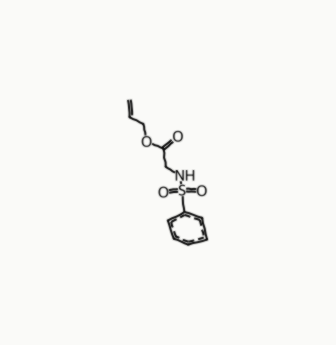 C=CCOC(=O)CNS(=O)(=O)c1ccccc1